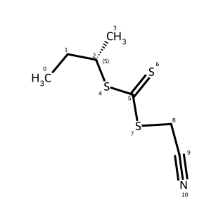 CC[C@H](C)SC(=S)SCC#N